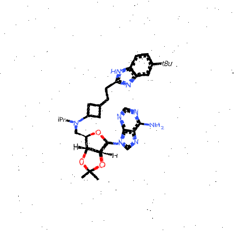 CC(C)N(C[C@H]1OC(n2cnc3c(N)ncnc32)[C@@H]2OC(C)(C)O[C@H]12)C1CC(CCc2nc3cc(C(C)(C)C)ccc3[nH]2)C1